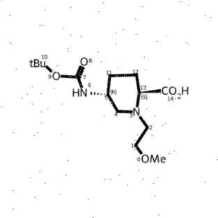 COCCN1C[C@H](NC(=O)OC(C)(C)C)CC[C@H]1C(=O)O